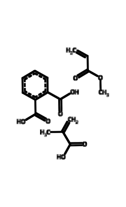 C=C(C)C(=O)O.C=CC(=O)OC.O=C(O)c1ccccc1C(=O)O